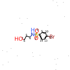 O=S(=O)(NCCCO)c1ccc(Br)cc1